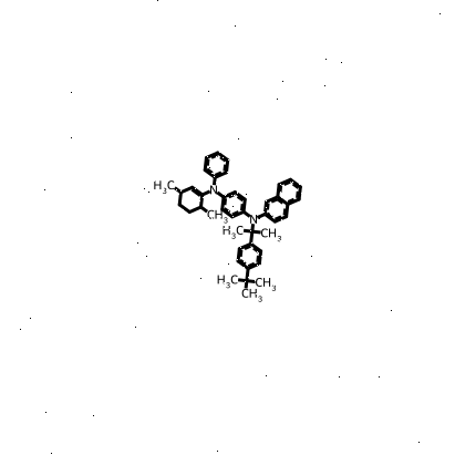 CC1C=C(N(c2ccccc2)c2ccc(N(c3ccc4ccccc4c3)C(C)(C)c3ccc(C(C)(C)C)cc3)cc2)C(C)CC1